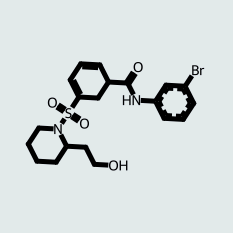 O=C(Nc1cccc(Br)c1)C1C=CC=C(S(=O)(=O)N2CCCCC2CCO)C1